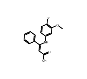 COc1cc(N/C(=C\C(=O)O)c2ccccc2)ccc1Br